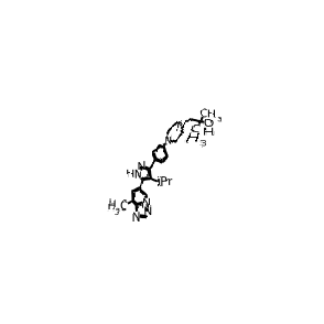 Cc1cc(-c2[nH]nc(-c3ccc(N4CCN(CC(C)(C)O)CC4)cc3)c2C(C)C)cn2ncnc12